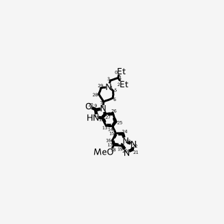 CCC(CC)CN1CCC(n2c(=O)[nH]c3cc(-c4cc(OC)c5ncnn5c4)ccc32)CC1